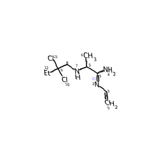 C=C/N=C(\N)C(C)NCC(Cl)(Cl)CC